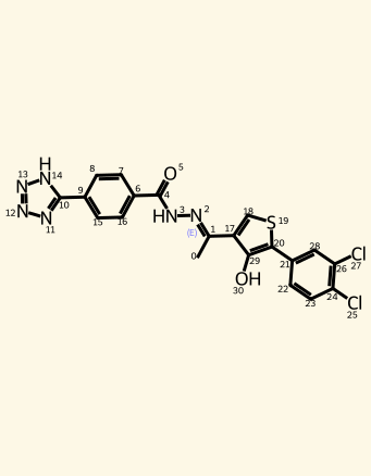 C/C(=N\NC(=O)c1ccc(-c2nnn[nH]2)cc1)c1csc(-c2ccc(Cl)c(Cl)c2)c1O